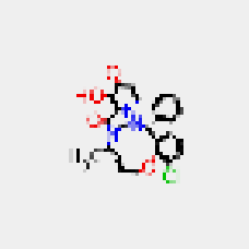 C[C@@H]1/C=C/COc2c(Cl)cccc2[C@@H](c2ccccc2)N2CN1C(=O)c1c(O)c(=O)ccn12